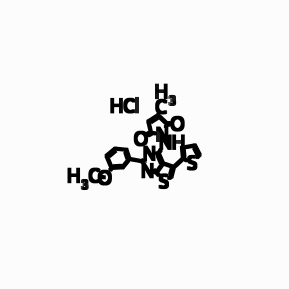 COc1cccc(-c2nc(NN3C(=O)C=C(C)C3=O)c3c(-c4cccs4)csc3n2)c1.Cl